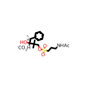 CC(=O)NCCCS(=O)(=O)OCC(C)(C)[C@@](O)(C(=O)O)[C@H](C)c1ccccc1